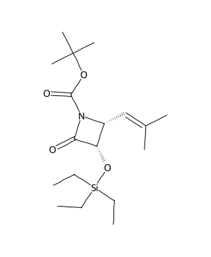 CC[Si](CC)(CC)O[C@@H]1C(=O)N(C(=O)OC(C)(C)C)[C@@H]1C=C(C)C